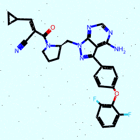 N#CC(=CC1CC1)C(=O)N1CCC[C@@H]1Cn1nc(-c2ccc(Oc3c(F)cccc3F)cc2)c2c(N)ncnc21